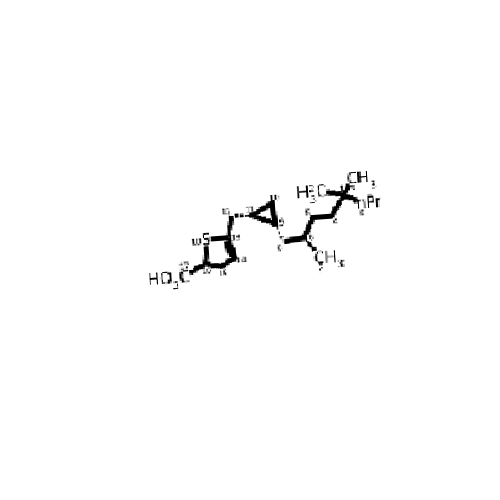 CCCC(C)(C)CC[C@@H](C)C[C@H]1C[C@H]1CC1=CCC(C(=O)O)S1